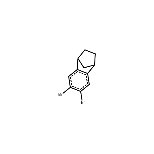 Brc1cc2c(cc1Br)C1CCC2C1